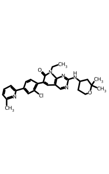 CCn1c(=O)c(-c2ccc(-c3cccc(C)n3)cc2Cl)cc2cnc(NC3CCOC(C)(C)C3)nc21